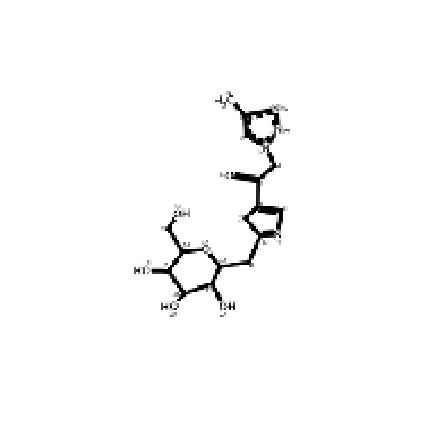 Cc1cn(CC(=O)C2=CN=C(CC3OC(CO)C(O)C(O)C3O)C2)nn1